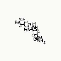 NS(=O)(=O)N1Cc2n[nH]c(NC(=O)Cc3cccc(F)c3)c2C1